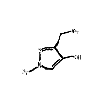 CC(C)Cc1nn(C(C)C)cc1O